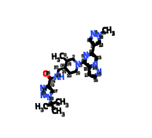 C[C@H]1CN(c2nc(-c3cnn(C)c3)cn3nccc23)CC[C@H]1CNC(=O)c1cn(C(C)(C)C)nn1